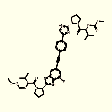 COO/C=N\[C@H](C(=O)N1CCC[C@H]1c1nc2cc(C#Cc3ccc(-c4c[nH]c([C@@H]5CCCN5C(=O)[C@@H](NC(=O)OC)C(C)C)n4)cc3)cc(F)c2[nH]1)C(C)C